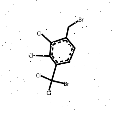 Clc1c(CBr)ccc(C(Cl)(Cl)Br)c1Cl